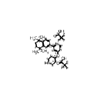 CC1(C)CCC(C)(C)c2cc(-c3cc(OC4CCNCC4)ncn3)ccc21.O=C(O)C(F)(F)F.O=C(O)C(F)(F)F